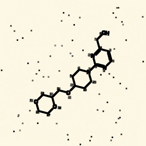 OCc1ccnc(N2CCC(OCC3COCCO3)CC2)n1